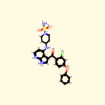 NS(=O)(=O)N1CCC(Nc2ccnc3[nH]cc(C(=O)c4ccc(Oc5ccccc5)cc4Cl)c23)CC1